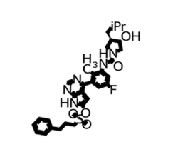 Cc1c(NC(=O)N2C[C@@H](CC(C)C)[C@@H](O)C2)cc(F)cc1-c1ncnc2[nH]c(OS(=O)(=O)CCCc3ccccc3)cc12